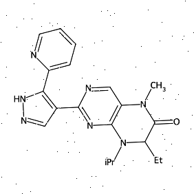 CCC1C(=O)N(C)c2cnc(-c3cn[nH]c3-c3ccccn3)nc2N1C(C)C